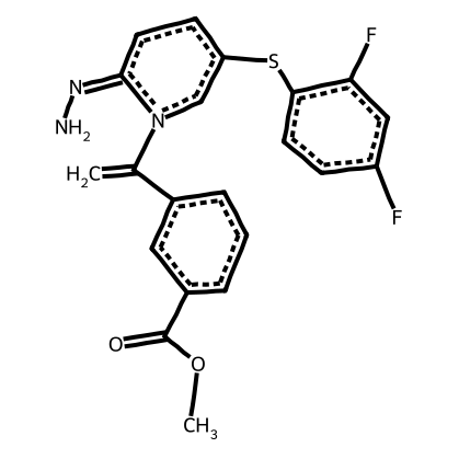 C=C(c1cccc(C(=O)OC)c1)n1cc(Sc2ccc(F)cc2F)cc/c1=N/N